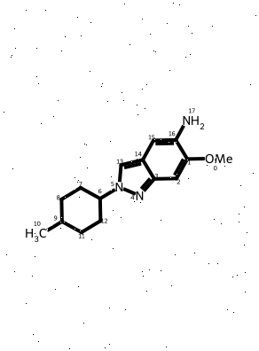 COc1cc2nn(C3CCC(C)CC3)cc2cc1N